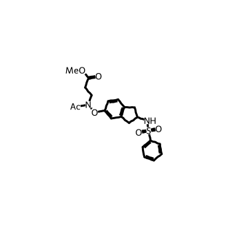 COC(=O)CCN(Oc1ccc2c(c1)CC(NS(=O)(=O)c1ccccc1)C2)C(C)=O